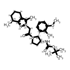 COc1cccc([C@@H]2[C@H](NC(=O)OC(C)(C)C)CCN2C(=O)Cn2nc3c(c2C)CCC[C@@H]3C)c1C